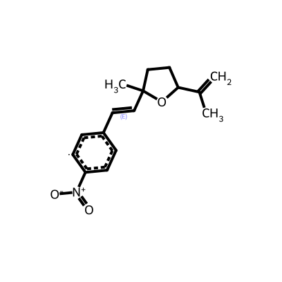 C=C(C)C1CCC(C)(/C=C/c2c[c]c([N+](=O)[O-])cc2)O1